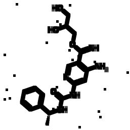 C[C@@H](NC(=O)Nc1cc(N)c(C(=N)OCC(O)CO)cn1)c1ccccc1